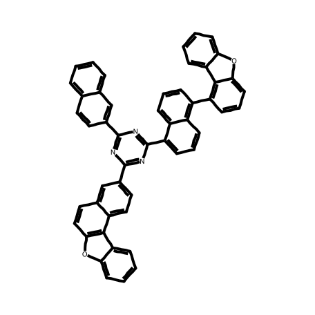 c1ccc2cc(-c3nc(-c4ccc5c(ccc6oc7ccccc7c65)c4)nc(-c4cccc5c(-c6cccc7oc8ccccc8c67)cccc45)n3)ccc2c1